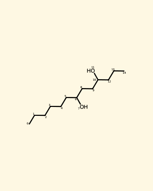 CCCCCCC(O)CCC(O)CCC